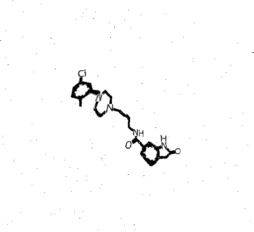 Cc1ccc(Cl)cc1N1CCN(C/C=C/CNC(=O)c2ccc3c(c2)NC(=O)C3)CC1